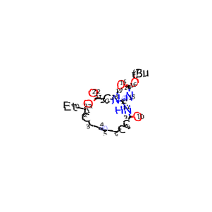 CCC1CC/C=C/CCCC(=O)N/C(=N/C(=O)OC(C)(C)C)N(C)CC(=O)O1